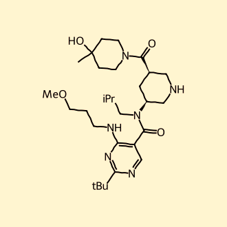 COCCCNc1nc(C(C)(C)C)ncc1C(=O)N(CC(C)C)[C@@H]1CNC[C@H](C(=O)N2CCC(C)(O)CC2)C1